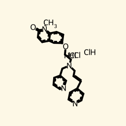 Cl.Cl.Cl.Cn1c(=O)ccc2cc(OCCN(CC=Cc3ccncc3)Cc3cccnc3)ccc21